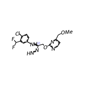 COCc1ccnc(OC/C(=C/Nc2ccc(Cl)c(C(F)F)c2)N=N)n1